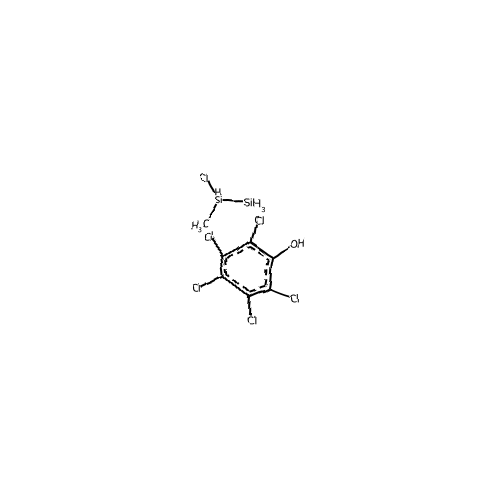 C[SiH]([SiH3])Cl.Oc1c(Cl)c(Cl)c(Cl)c(Cl)c1Cl